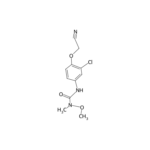 CON(C)C(=O)Nc1ccc(OCC#N)c(Cl)c1